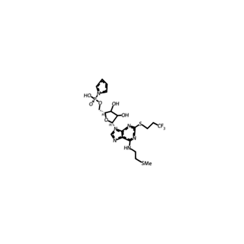 CSCCNc1nc(SCCC(F)(F)F)nc2c1ncn2[C@@H]1O[C@H](COP(=O)(O)n2cccc2)C(O)C1O